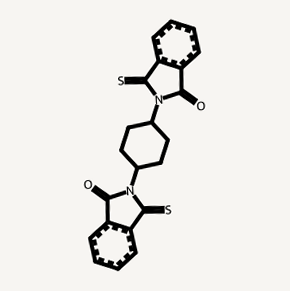 O=C1c2ccccc2C(=S)N1C1CCC(N2C(=O)c3ccccc3C2=S)CC1